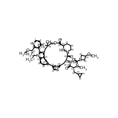 CCn1c(-c2cccnc2[C@H](C)OC)c2c3cc(ccc31)-c1csc(n1)C[C@H](NC(=O)[C@H](CC1CC1)N(C)C(=O)N1CC(OC)C1)C(=O)N1CCCC(C=O)(COCC(C)(C)C2)N1